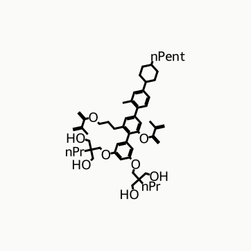 C=C(C)C(=C)OCCCc1cc(-c2ccc(C3CCC(CCCCC)CC3)cc2C)cc(OC(=C)C(=C)C)c1-c1cc(OCC(CO)(CO)CCC)cc(OCC(CO)(CO)CCC)c1